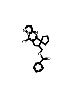 O=C(OCC1Cc2c(nc3ccnn3c2Cl)C12CCCC2)c1ccccc1